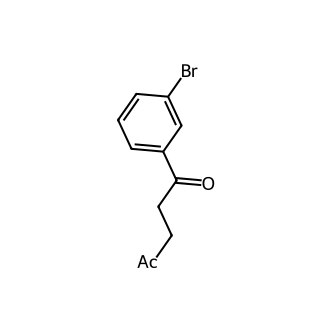 CC(=O)CCC(=O)c1cccc(Br)c1